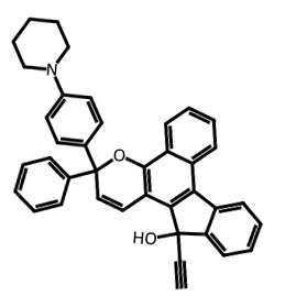 C#CC1(O)c2ccccc2-c2c1c1c(c3ccccc23)OC(c2ccccc2)(c2ccc(N3CCCCC3)cc2)C=C1